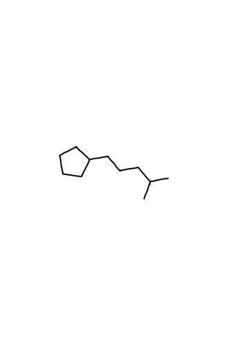 C[C](C)CCCC1CCCC1